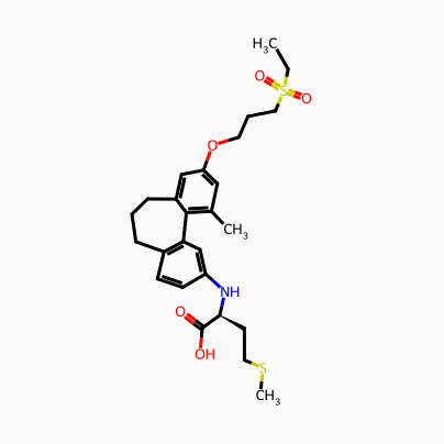 CCS(=O)(=O)CCCOc1cc(C)c2c(c1)CCCc1ccc(N[C@@H](CCSC)C(=O)O)cc1-2